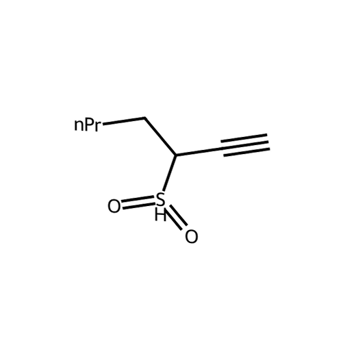 C#CC(CCCC)[SH](=O)=O